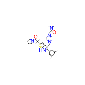 Cc1cc(C)cc(-c2[nH]c3sc(C(C)(C)C(=O)N4C5CCC4CC5)cc3c2CN2CCN(CC(=O)N(C)C)CC2)c1